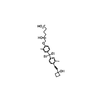 CCC(CC)(c1ccc(C#CC2(O)CCC2)c(C)c1)c1ccc(OC[C@@H](O)CCCC(=O)O)c(C)c1